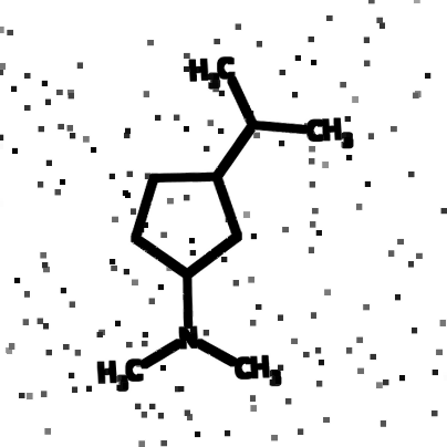 CC(C)C1CCC(N(C)C)C1